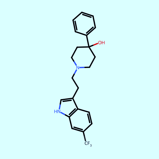 OC1(c2ccccc2)CCN(CCc2c[nH]c3cc(C(F)(F)F)ccc23)CC1